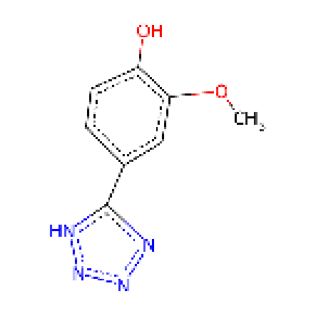 COc1cc(-c2nnn[nH]2)ccc1O